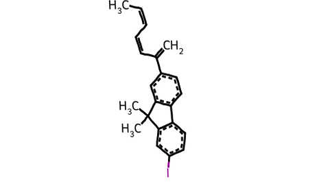 C=C(/C=C\C=C/C)c1ccc2c(c1)C(C)(C)c1cc(I)ccc1-2